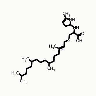 CC1=CCC(NC(CSC/C=C(\C)CCCC(C)CCCC(C)CCCC(C)C)C(=O)O)N1